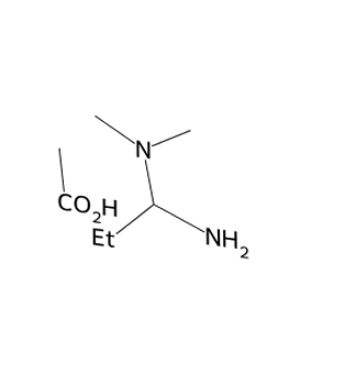 CC(=O)O.CCC(N)N(C)C